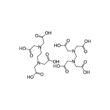 O=C(O)CN(CC(=O)O)CN(CC(=O)O)CC(=O)O.O=C(O)CN(CCN(CC(=O)O)CC(=O)O)CC(=O)O